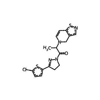 CC(C(=O)N1CCC(c2ccc(Cl)s2)=N1)N1C=Cc2sncc2C1